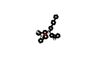 c1ccc(-c2ccc(-c3ccc(N(c4ccc(-c5ccccc5-n5c6ccccc6c6ccccc65)cc4)c4ccc5oc6ccccc6c5c4)cc3)cc2)cc1